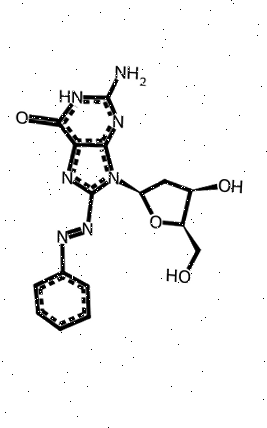 Nc1nc2c(nc(/N=N/c3ccccc3)n2[C@H]2C[C@@H](O)[C@@H](CO)O2)c(=O)[nH]1